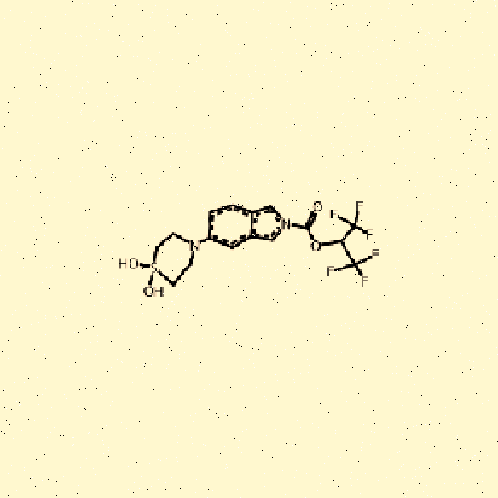 O=C(OC(C(F)(F)F)C(F)(F)F)n1cc2ccc(N3CCS(O)(O)CC3)cc2c1